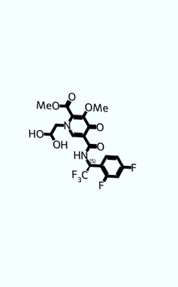 COC(=O)c1c(OC)c(=O)c(C(=O)N[C@@H](c2ccc(F)cc2F)C(F)(F)F)cn1CC(O)O